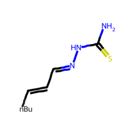 CCCC/C=C/C=N/NC(N)=S